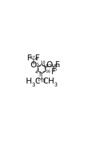 C[C](C)c1cc(OC(F)F)cc(OC(F)F)c1